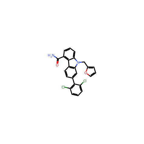 NC(=O)c1cccc2c1c1[c]cc(-c3c(Cl)cccc3Cl)cc1n2Cc1ccco1